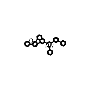 c1ccc(-c2cccc(-c3cc(-c4cc5c6c(cccc6c4)-c4c-5ccc5c4oc4ccccc45)nc(-c4ccccc4)n3)c2)cc1